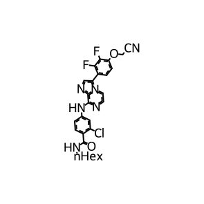 CCCCCCNC(=O)c1ccc(Nc2nccn3c(-c4ccc(OCC#N)c(F)c4F)cnc23)cc1Cl